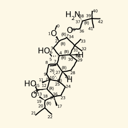 CO[C@@H]1C[C@]2(CO)C3=CC[C@@]4(C)[C@H](C(=O)O)[C@@](C)([C@H](C)C(C)C)CC[C@]4(C)[C@H]3CC[C@H]2C(C)(C)[C@H]1OC[C@H](N)C(C)(C)C